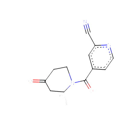 C[C@@H]1CC(=O)CCN1C(=O)c1ccnc(C#N)c1